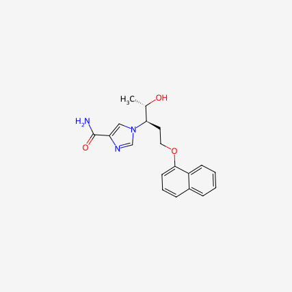 C[C@H](O)[C@@H](CCOc1cccc2ccccc12)n1cnc(C(N)=O)c1